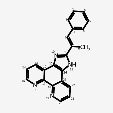 CC(=Cc1ccccc1)c1nc2c3cccnc3c3ncccc3c2[nH]1